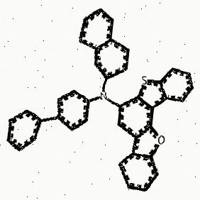 c1ccc(-c2ccc(N(c3ccc4ccccc4c3)c3cc4c5ccccc5oc4c4c3sc3ccccc34)cc2)cc1